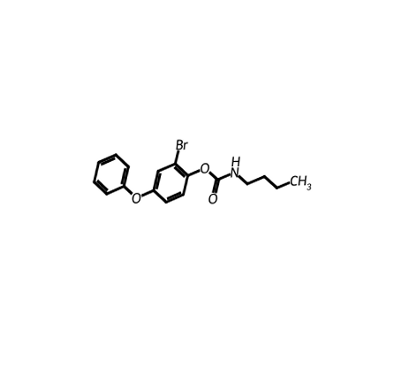 CCCCNC(=O)Oc1ccc(Oc2ccccc2)cc1Br